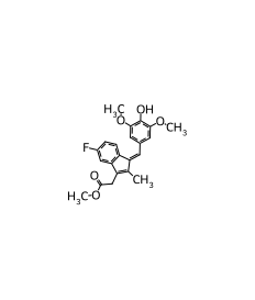 COC(=O)CC1=C(C)/C(=C/c2cc(OC)c(O)c(OC)c2)c2ccc(F)cc21